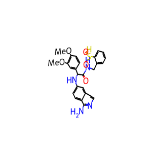 COc1ccc(C(Nc2ccc3c(N)nccc3c2)C(=O)NCc2ccccc2[SH](=O)=O)cc1OC